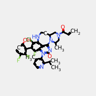 C=CC(=O)N1CC(C)N2c3nc(=O)n(-c4c(C)ccnc4C(C)C)c4c(F)c(-c5c(O)ccc(F)c5F)c(Cl)c(c34)NCCC2C1